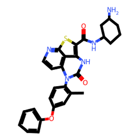 Cc1cc(Oc2ccccc2)ccc1N1C(=O)Nc2c(C(=O)NC3CCCC(N)C3)sc3nccc1c23